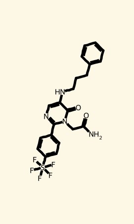 NC(=O)Cn1c(-c2ccc(S(F)(F)(F)(F)F)cc2)ncc(NCCCc2ccccc2)c1=O